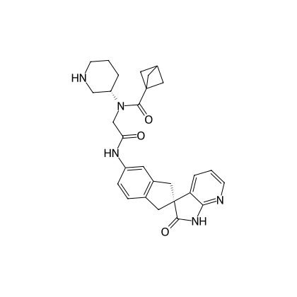 O=C(CN(C(=O)C12CC(C1)C2)[C@H]1CCCNC1)Nc1ccc2c(c1)C[C@@]1(C2)C(=O)Nc2ncccc21